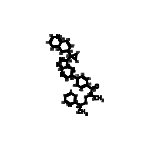 CN(CCN(C)c1ccccn1)C(=O)c1ccc(-c2cnc3nnc(C4(c5ccc6ncccc6c5)CC4)n3n2)cc1